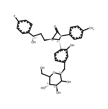 Cc1ccc(N2C(=O)[C@H](CC[C@H](O)c3ccc(F)cc3)[C@H]2c2ccc(C[C@@H]3OC(CO)[C@@H](O)[C@H](O)C3O)cc2O)cc1